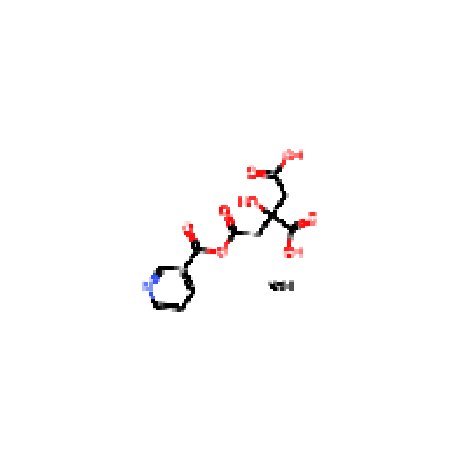 O=C(O)CC(O)(CC(=O)OC(=O)c1cccnc1)C(=O)O.[NaH]